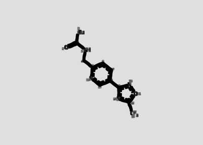 CCC(C)C(=O)NCc1ccc(-c2noc(C(F)(F)F)n2)cn1